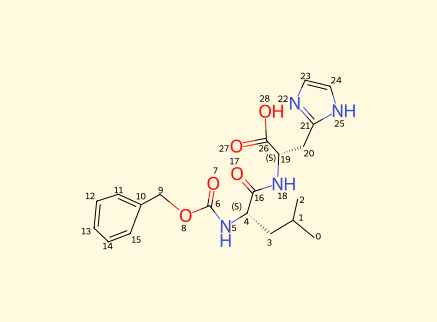 CC(C)C[C@H](NC(=O)OCc1ccccc1)C(=O)N[C@@H](Cc1ncc[nH]1)C(=O)O